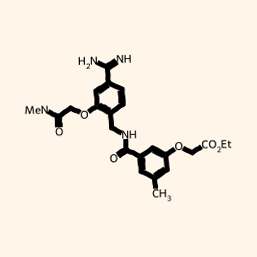 CCOC(=O)COc1cc(C)cc(C(=O)NCc2ccc(C(=N)N)cc2OCC(=O)NC)c1